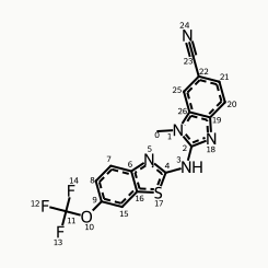 Cn1c(Nc2nc3ccc(OC(F)(F)F)cc3s2)nc2ccc(C#N)cc21